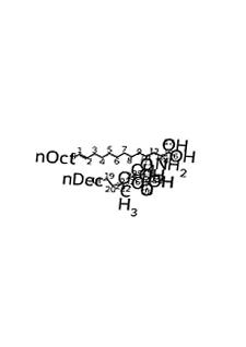 CCCCCCCCC=CCCCCCCCC(=O)CC(N)C(O)O.CCCCCCCCCCCCC(C)OC(C)OP(=O)(O)O